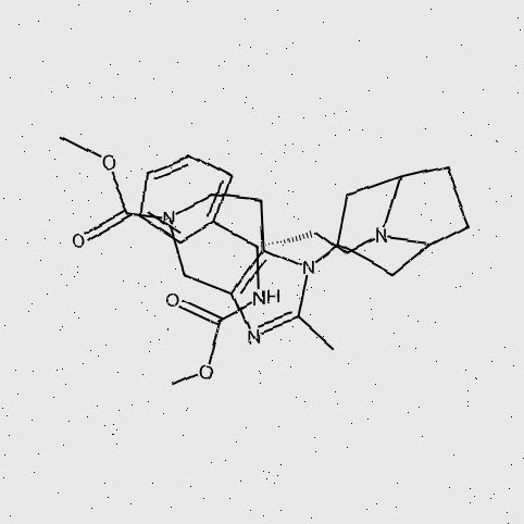 COC(=O)N[C@@H](CCN1C2CCC1CC(n1c(C)nc3c1CCN(C(=O)OC)C3)C2)c1ccccc1